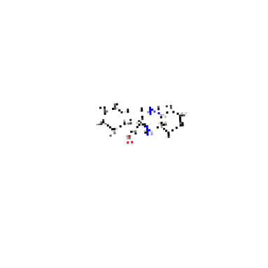 O=C(c1cnc2c(n1)CCCC2)C1CCCCC1